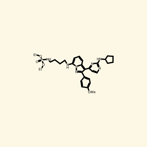 CCOP(=O)(NCCCCNc1cccc2c(-c3ccnc(NC4CCCC4)n3)c(-c3ccc(OC)cc3)nn12)OCC